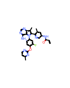 C=CC(=O)Nc1cnc(-c2c(C)c3ncnc(N)c3n2-c2ccc(Oc3nccc(C)n3)c(F)c2)c(C)c1